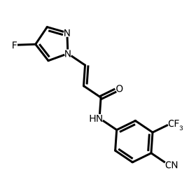 N#Cc1ccc(NC(=O)C=Cn2cc(F)cn2)cc1C(F)(F)F